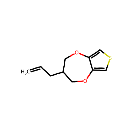 C=CCC1COc2cscc2OC1